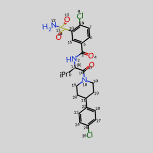 CC(C)[C@@H](NC(=O)c1ccc(Cl)c(S(N)(=O)=O)c1)C(=O)N1CCC(c2ccc(Cl)cc2)CC1